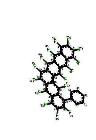 Fc1c(F)c(F)c2c(F)c3c(F)c4c(c(F)c(F)c5c(F)c6c(F)c(F)c(F)c(-c7ccccc7)c6c(F)c54)c(F)c3c(F)c2c1F